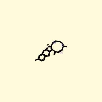 C=C1/C=C\C(C)=C/C/C=C\c2sc3cc4cc(C)ccc4cc3c21